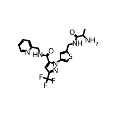 CC(N)C(=O)NCc1cc(-n2nc(C(F)(F)F)cc2C(=O)NCc2ccccn2)cs1